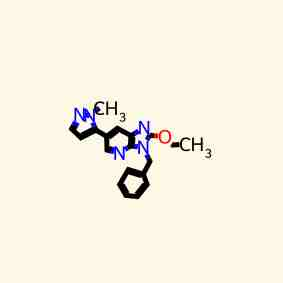 CCOc1nc2cc(-c3ccnn3C)cnc2n1Cc1ccccc1